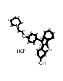 Cl.OC1=CC2SC3=c4ccccc4=C(c4ccc(OCCN5CCCCC5)cc4)C3=C2C=C1